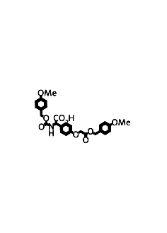 COc1ccc(COC(=O)COc2ccc(C(NC(=O)OCc3ccc(OC)cc3)C(=O)O)cc2)cc1